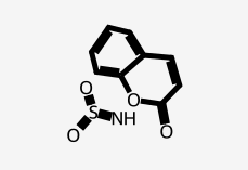 N=S(=O)=O.O=c1ccc2ccccc2o1